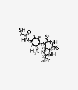 Cc1cc(NC(=O)CS)ccc1-n1c(=S)[nH]c(=S)c2[nH]c(C(C)C)nc21